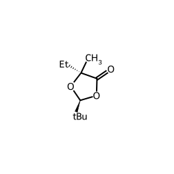 CC[C@@]1(C)O[C@H](C(C)(C)C)OC1=O